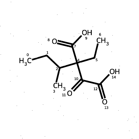 CCC(C)C(CC)(C(=O)O)C(=O)C(=O)O